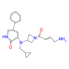 NC/C=C/C(=O)N1CC(N(CC2CC2)c2cc(-c3ccccc3)c[nH]c2=O)C1